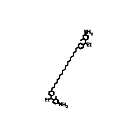 CCC(c1ccc(CCCCCCCCCCCCCCCCCCCc2ccc(C(CC)c3ccc(N)cc3C)cc2)cc1)c1ccc(N)cc1C